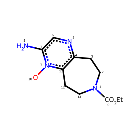 CCOC(=O)N1CCc2ncc(N)[n+]([O-])c2CC1